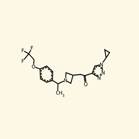 CC(c1ccc(OCC(F)(F)F)cc1)N1CC(CC(=O)c2cn(C3CC3)nn2)C1